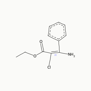 CCOC(=O)/C(Cl)=C(/N)c1ccccc1